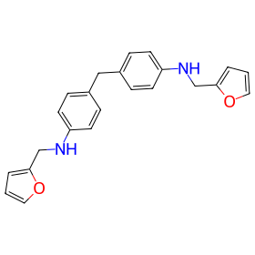 c1coc(CNc2ccc(Cc3ccc(NCc4ccco4)cc3)cc2)c1